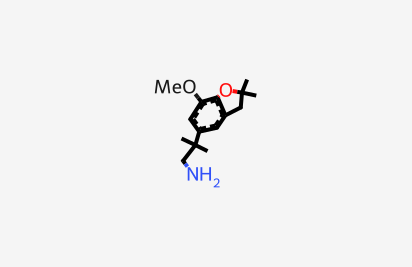 COc1cc(C(C)(C)CN)cc2c1OC(C)(C)C2